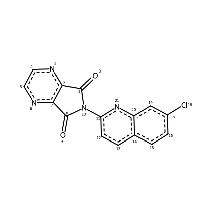 O=C1c2nccnc2C(=O)N1c1ccc2ccc(Cl)cc2n1